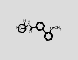 COc1ccccc1-c1cccc(C(=O)N[C@H]2CN3CCC2CC3)c1